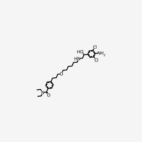 CCN(CC)C(=O)c1ccc(CCCOCCCCCCNCC(O)c2cc(Cl)c(N)c(Cl)c2)cc1